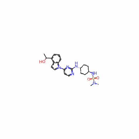 CC(O)c1cccc2c1ccn2-c1ccnc(N[C@H]2CC[C@H](NS(=O)(=O)N(C)C)CC2)n1